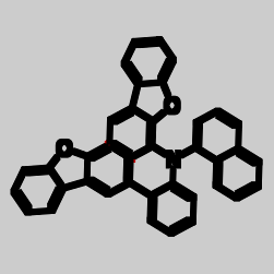 c1ccc(N(c2cccc3ccccc23)c2cccc3c2oc2ccccc23)c(-c2ccc3oc4ccccc4c3c2)c1